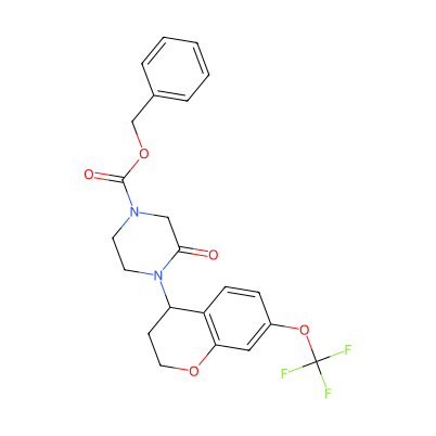 O=C(OCc1ccccc1)N1CCN(C2CCOc3cc(OC(F)(F)F)ccc32)C(=O)C1